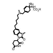 CN(CCCCCc1ccc2c(c1)n(C)c(=O)n2C1CCC(=O)NC1=O)CC1=CCC(NC(=O)O)(C(C)(C)C)C=C1